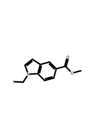 COC(=O)c1ccc2c(ccn2CI)c1